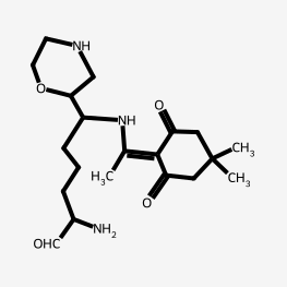 CC(NC(CCCC(N)C=O)C1CNCCO1)=C1C(=O)CC(C)(C)CC1=O